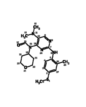 CSc1ccc(Nc2ncc(N(C)C)c(N(C=O)C3CCOCC3)n2)c(C)c1